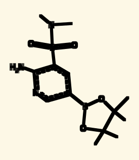 CN(C)S(=O)(=O)c1cc(B2OC(C)(C)C(C)(C)O2)cnc1N